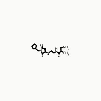 CC(CN)C(=O)NCCSC1=CC(=O)N(CC2CCCC2)C1=O